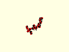 C1=C=Cc2cc(-c3c4ccccc4c(-c4ccc5ccccc5c4)c4cc(-c5ccc(-c6nc7ccc(-c8cc9ccc(-c%10cccc(-c%11ccc%12ccc%13ccccc%13c%12n%11)c%10)nc9c9ccccc89)cc7n6-c6ccccc6)cc5)ccc34)ccc2C=1